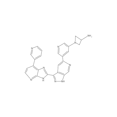 NC1CN(c2cncc(-c3cc4c(-c5nc6c(-c7cccnc7)ccnc6[nH]5)n[nH]c4cn3)c2)C1